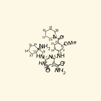 COc1cc(Nc2nc(NCC3(N)CCCCC3)[nH]c(=O)c2C(N)=O)ccc1C(=O)N1CCCCC1